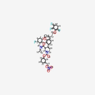 COc1ccc(F)c(CN(C(=O)C2CN(C(=O)Oc3cccc(CO[N+](=O)[O-])c3)CC=C2c2ccc(CCCOc3c(F)ccc(F)c3F)cc2)C2CC2)c1